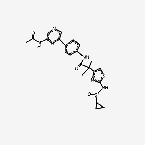 CC(=O)Nc1cncc(-c2ccc(NC(=O)C(C)(C)c3csc(N[S+]([O-])C4CC4)n3)cc2)n1